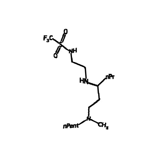 CCCCCN(C)CCC(CCC)NCCNS(=O)(=O)C(F)(F)F